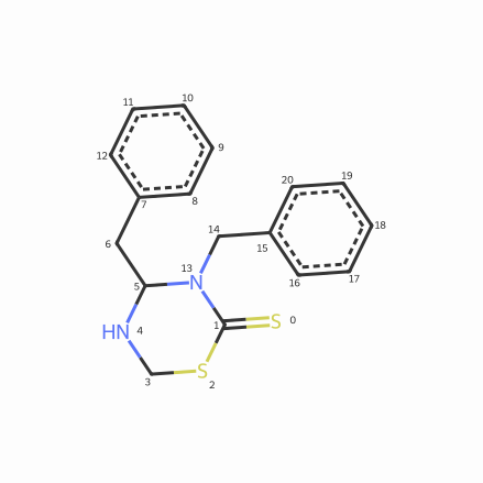 S=C1SCNC(Cc2ccccc2)N1Cc1ccccc1